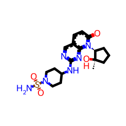 C[C@@]1(O)CCC[C@H]1n1c(=O)ccc2cnc(NC3CCN(S(N)(=O)=O)CC3)nc21